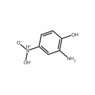 Nc1cc([NH+]([O-])O)ccc1O